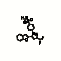 NS(=O)(=O)c1ccc(-n2nc(C(F)F)cc2-c2cc3ccccc3o2)cc1